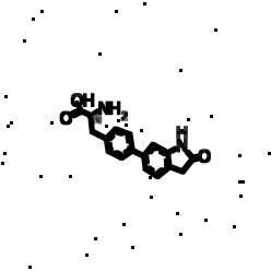 N[C@@H](Cc1ccc(-c2ccc3c(c2)NC(=O)C3)cc1)C(=O)O